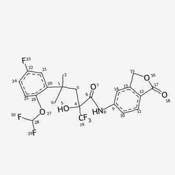 CC(C)(CC(O)(C(=O)Nc1ccc2c(c1)COC2=O)C(F)(F)F)c1cc(F)ccc1OC(F)F